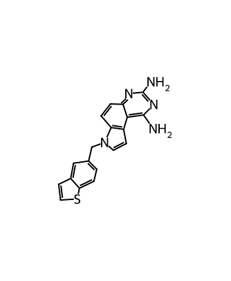 Nc1nc(N)c2c(ccc3c2ccn3Cc2ccc3sccc3c2)n1